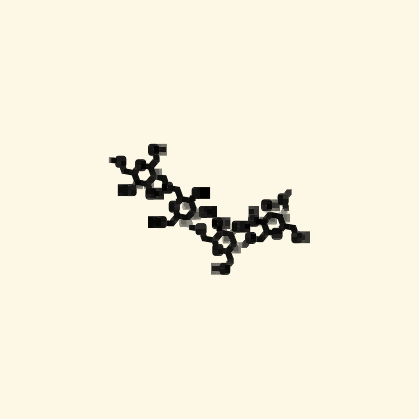 COCC1OC(CO)[C@@H](COCC2OC(CO)[C@@H](COCC3OC(CO)[C@@H](COCC4OC(CO)[C@@H](COC)[C@@H](O)[C@@H]4O)[C@@H](O)[C@@H]3O)[C@@H](O)[C@@H]2O)[C@@H](O)[C@@H]1O